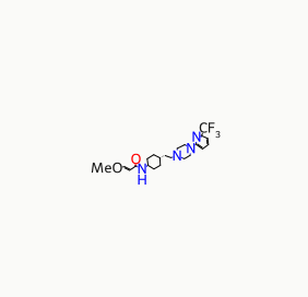 COC=CC(=O)N[C@H]1CC[C@H](CCN2CCN(c3cccc(C(F)(F)F)n3)CC2)CC1